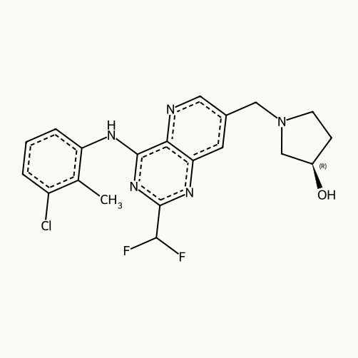 Cc1c(Cl)cccc1Nc1nc(C(F)F)nc2cc(CN3CC[C@@H](O)C3)cnc12